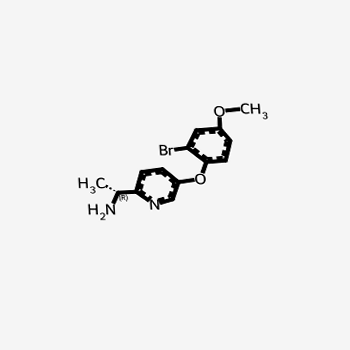 COc1ccc(Oc2ccc([C@@H](C)N)nc2)c(Br)c1